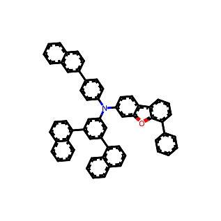 c1ccc(-c2cccc3c2oc2cc(N(c4ccc(-c5ccc6ccccc6c5)cc4)c4cc(-c5cccc6ccccc56)cc(-c5cccc6ccccc56)c4)ccc23)cc1